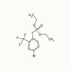 CCOP(=O)(Cc1ccc(Br)cc1C(F)(F)F)OCC